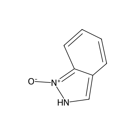 [O-][n+]1[nH]cc2ccccc21